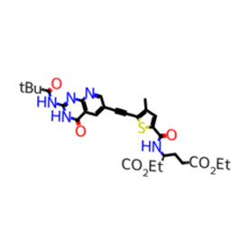 CCOC(=O)CC[C@H](NC(=O)c1cc(C)c(C#Cc2cnc3nc(NC(=O)C(C)(C)C)[nH]c(=O)c3c2)s1)C(=O)OCC